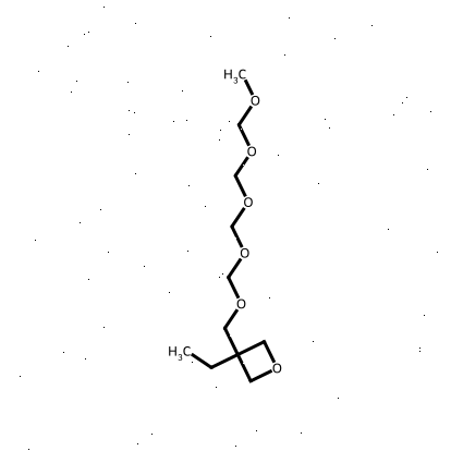 CCC1(COCOCOCOCOC)COC1